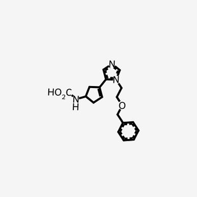 O=C(O)NC1CC=C(c2cncn2CCOCc2ccccc2)C1